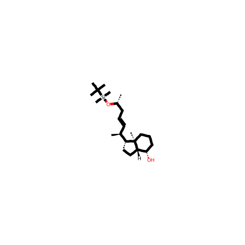 C[C@H](C/C=C/[C@H](C)[C@H]1CC[C@H]2[C@@H](O)CCC[C@]12C)O[Si](C)(C)C(C)(C)C